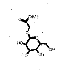 COC(=O)COC1OC(CO)C(O)C(O)C1O